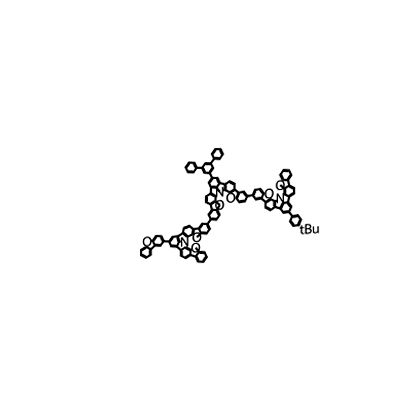 CC(C)(C)c1ccc(-c2cc3c4ccc5c6ccccc6oc5c4n4c3c(c2)c2ccc3c5cc(-c6ccc7oc8c(ccc9c%10cc(-c%11cc(-c%12ccccc%12)cc(-c%12ccccc%12)c%11)cc%11c%12ccc%13c%14cc(-c%15ccc%16oc%17c(ccc%18c%19cc(-c%20ccc%21oc%22ccccc%22c%21c%20)cc%20c%21ccc%22c%23ccccc%23oc%22c%21n(c%20%19)c%18%17)c%16c%15)ccc%14oc%13c%12n(c%10%11)c98)c7c6)ccc5oc3c24)cc1